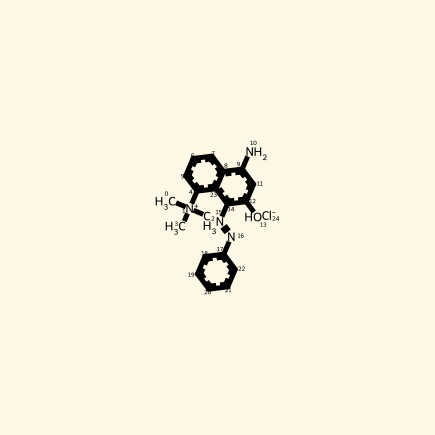 C[N+](C)(C)c1cccc2c(N)cc(O)c(N=Nc3ccccc3)c12.[Cl-]